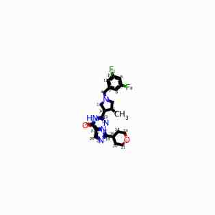 CC1CN(Cc2cc(F)cc(F)c2)CC1c1nn2c(C3CCOCC3)ncc2c(=O)[nH]1